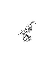 O=C(Nc1ccc(OC(F)(F)F)cc1)Nc1ccc(Cl)nc1Oc1ccccc1C1(C(F)(F)F)CCO1